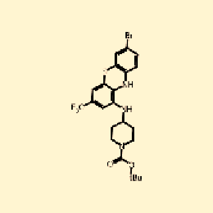 CC(C)(C)OC(=O)N1CCC(Nc2cc(C(F)(F)F)cc3c2Nc2ccc(Br)cc2S3)CC1